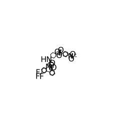 O=C(CN1c2ccc(C(F)(F)F)cc2-c2ccccc2S1(=O)=O)N[C@H]1CC[C@H](OS(=O)(=O)c2ccc([N+](=O)[O-])cc2)CC1